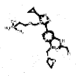 C[Si](C)(C)CCOCn1c(-c2cnc(NC[C@@H]3CCO3)c(NC(=O)CCl)c2)nnc1C1CC1